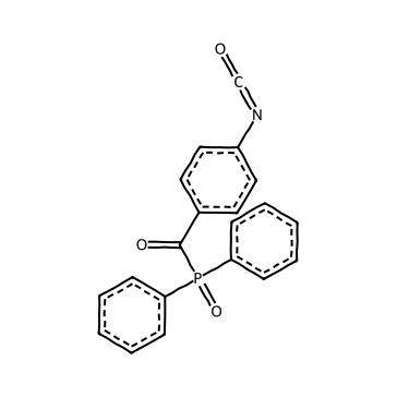 O=C=Nc1ccc(C(=O)P(=O)(c2ccccc2)c2ccccc2)cc1